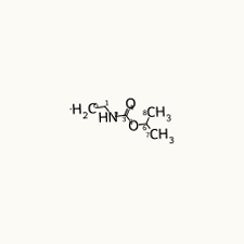 [CH2]CNC(=O)OC(C)C